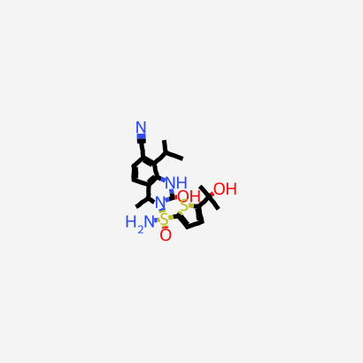 CC(C)c1ccc(C#N)c(C(C)C)c1NC(O)N=S(N)(=O)c1ccc(C(C)(C)O)s1